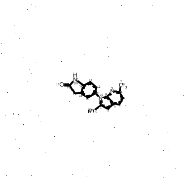 CC(C)c1cc2ccc(C(F)(F)F)nc2n1-c1ccc2c(c1)CC(=O)N2